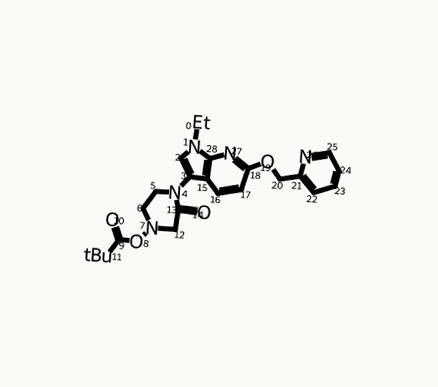 CCn1cc(N2CCN(OC(=O)C(C)(C)C)CC2=O)c2ccc(OCc3ccccn3)nc21